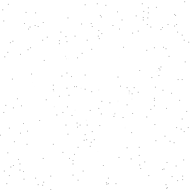 CC(=O)CC12CC(=O)C(C)=C1c1ccccc1-c1nc3ccccc3cc12